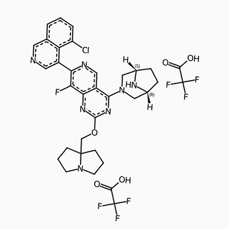 Fc1c(-c2cncc3cccc(Cl)c23)ncc2c(N3C[C@H]4CC[C@@H](C3)N4)nc(OCC34CCCN3CCC4)nc12.O=C(O)C(F)(F)F.O=C(O)C(F)(F)F